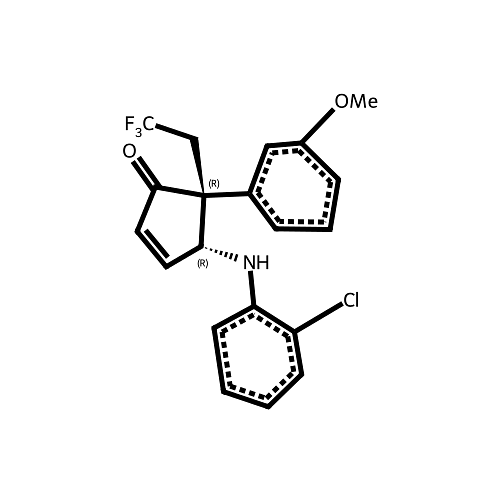 COc1cccc([C@@]2(CC(F)(F)F)C(=O)C=C[C@H]2Nc2ccccc2Cl)c1